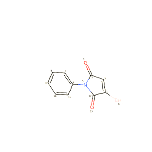 BC1=CC(=O)N(c2ccccc2)C1=O